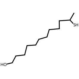 CC(S)CCCCCCCCCCO